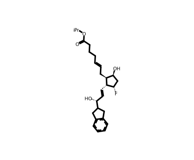 CC(C)OC(=O)CCC/C=C/C[C@@H]1[C@@H](/C=C/[C@@H](O)C2Cc3ccccc3C2)[C@@H](F)C[C@@H]1O